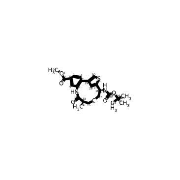 COC(=O)c1ccc2c(c1)NC(=O)[C@H](C)CCC[C@H](NC(=O)OC(C)(C)C)c1cc-2cs1